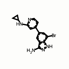 Nc1n[nH]c2c(Br)cc(-c3ccnc(NC4CC4)c3)cc12